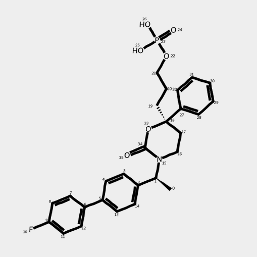 C[C@@H](c1ccc(-c2ccc(F)cc2)cc1)N1CC[C@](CCCOP(=O)(O)O)(c2ccccc2)OC1=O